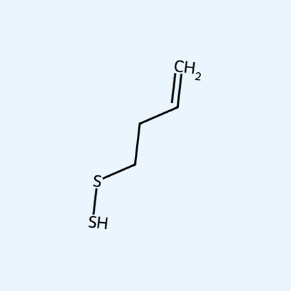 C=CCCSS